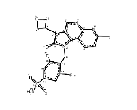 Cc1ccc2c(ncc3c2n(Cc2c(F)cc(S(N)(=O)=O)cc2F)c(=O)n3C2COC2)n1